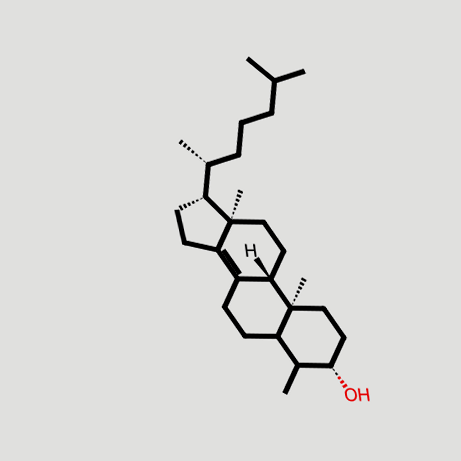 CC(C)CCC[C@@H](C)[C@H]1CCC2=C3CCC4C(C)[C@@H](O)CC[C@]4(C)[C@H]3CC[C@@]21C